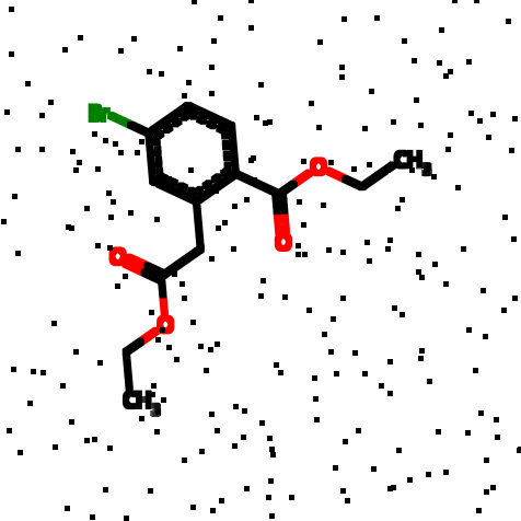 CCOC(=O)Cc1cc(Br)ccc1C(=O)OCC